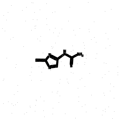 NC(=S)NC1=NC(=S)N=C1